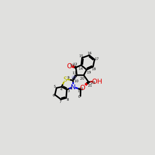 CCN1C2=C(CCC=C2)S/C1=C1\C(=O)c2ccccc2C1C(=O)O